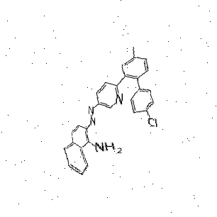 Cc1ccc(-c2ccc(Cl)cc2)c(-c2ccc(N=Nc3ccc4ccccc4c3N)cn2)c1